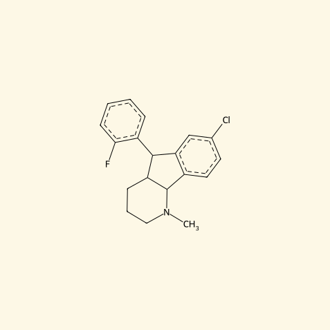 CN1CCCC2C(c3ccccc3F)c3cc(Cl)ccc3C21